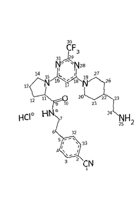 Cl.N#Cc1ccc(CCNC(=O)C2CCCN2c2cc(N3CCC(CCN)CC3)nc(C(F)(F)F)n2)cc1